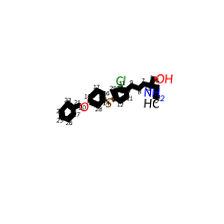 C#CCC(N)(CO)CCCc1ccc(Sc2cccc(OCc3ccccc3)c2)cc1Cl